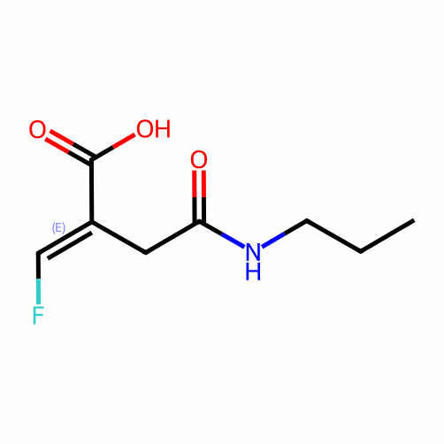 CCCNC(=O)C/C(=C\F)C(=O)O